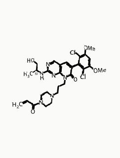 C=CC(=O)N1CCN(CCCn2c(=O)c(-c3c(Cl)c(OC)cc(OC)c3Cl)cc3cnc(N[C@@H](C)CO)nc32)CC1